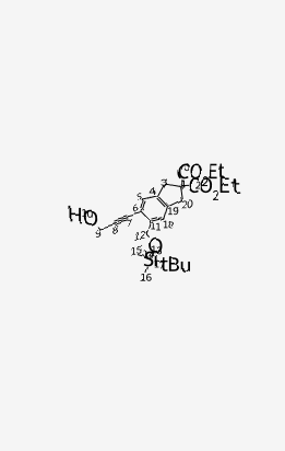 CCOC(=O)C1(C(=O)OCC)Cc2cc(C#CCO)c(CO[Si](C)(C)C(C)(C)C)cc2C1